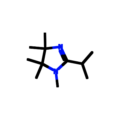 CC(C)C1=NC(C)(C)C(C)(C)N1C